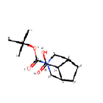 CC(C)(C)OC(=O)N1CC2CCC(C1)C2C(=O)O